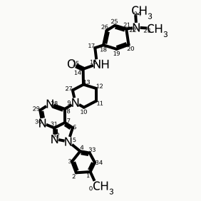 Cc1ccc(-n2cc3c(N4CCCC(C(=O)NCc5ccc(N(C)C)cc5)C4)ncnc3n2)cc1